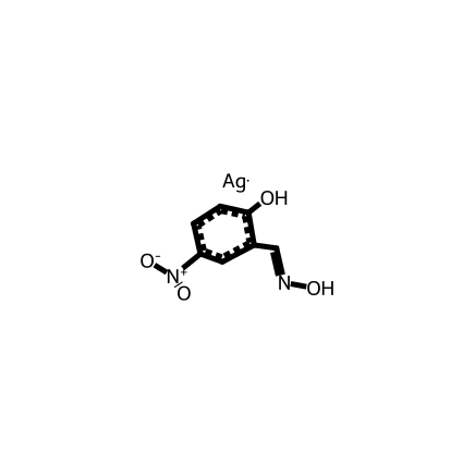 O=[N+]([O-])c1ccc(O)c(C=NO)c1.[Ag]